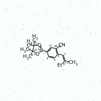 CC/C(C)=C\c1ccc(B2OC(C)(C)C(C)(C)O2)cc1C#N